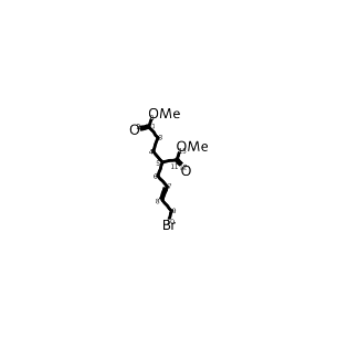 COC(=O)CCC(C/C=C/CBr)C(=O)OC